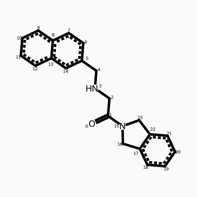 O=C(CNCc1ccc2ccccc2c1)N1Cc2ccccc2C1